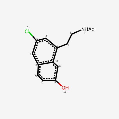 CC(=O)NCCc1cc(Cl)cc2ccc(O)cc12